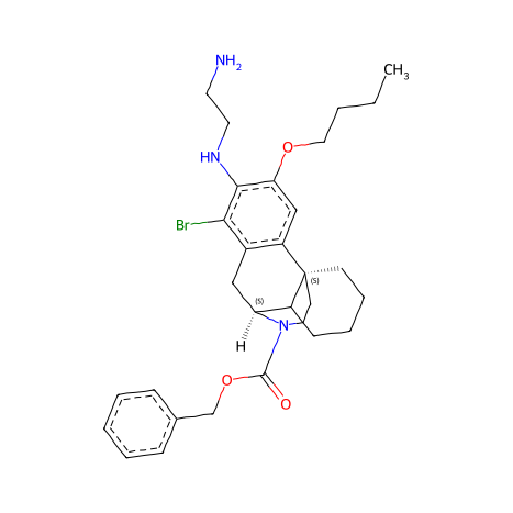 CCCCOc1cc2c(c(Br)c1NCCN)C[C@H]1C3CCCC[C@@]23CCN1C(=O)OCc1ccccc1